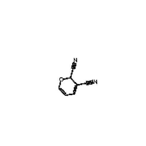 N#CC1=CC=COC1C#N